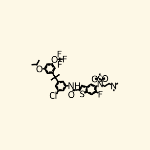 CC(C)Oc1cc(OC(F)(F)F)cc(C(C)(C)c2cc(Cl)cc(NC(=O)c3cc4cc(N(CCN(C)C)S(C)(=O)=O)c(F)cc4s3)c2)c1